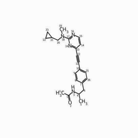 CC(=O)NC(C)Cc1ccc(C#Cc2ccnc(N(C)CC3CC3)n2)cc1